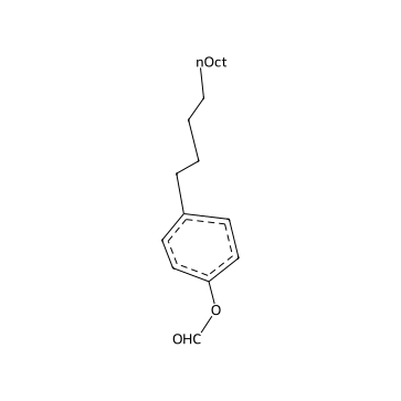 CCCCCCCCCCCCc1ccc(OC=O)cc1